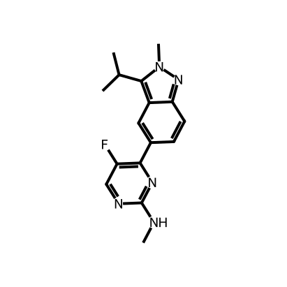 CNc1ncc(F)c(-c2ccc3nn(C)c(C(C)C)c3c2)n1